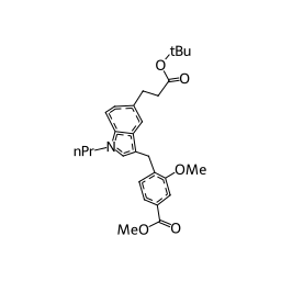 CCCn1cc(Cc2ccc(C(=O)OC)cc2OC)c2cc(CCC(=O)OC(C)(C)C)ccc21